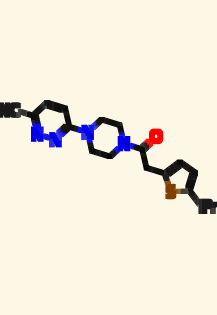 CC(C)c1ccc(CC(=O)N2CCN(c3ccc(C#N)nn3)CC2)s1